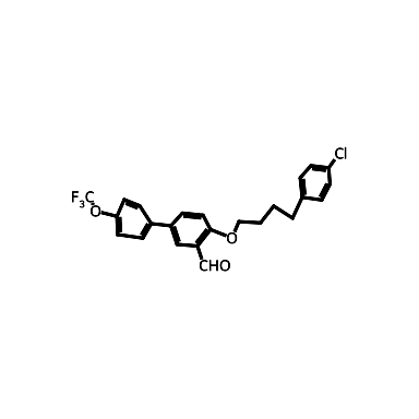 O=Cc1cc(-c2ccc(OC(F)(F)F)cc2)ccc1OCCCCc1ccc(Cl)cc1